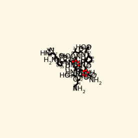 CC(C)[C@H](NC(=O)[C@H](C)NC(=O)[C@H](Cc1c[nH]cn1)NC(=O)[C@H](CCC(N)=O)NC(=O)[C@H](CCCCN)NC(=O)[C@H](CO)NC(=O)[C@H](CS)NC(=O)[C@H](CO)NC(=O)[C@@H]1CCCN1C(=O)[C@@H](N)Cc1c[nH]cn1)C(=O)N[C@@H](Cc1ccccc1)C(=O)O